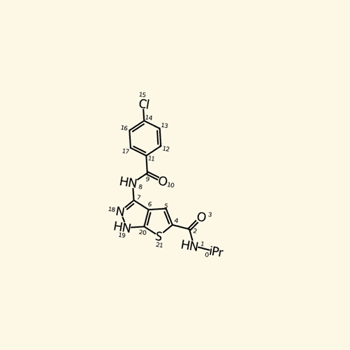 CC(C)NC(=O)c1cc2c(NC(=O)c3ccc(Cl)cc3)n[nH]c2s1